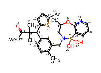 CCC1CN(Cc2cc(C(c3ccc(C(C)=O)s3)C(C)(C)C(=O)OC)ccc2C)S(O)(O)c2cccnc2O1